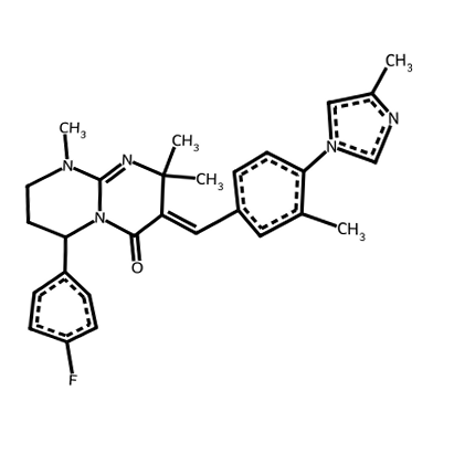 Cc1cn(-c2ccc(/C=C3/C(=O)N4C(=NC3(C)C)N(C)CCC4c3ccc(F)cc3)cc2C)cn1